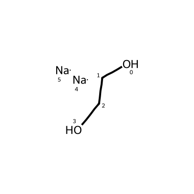 OCCO.[Na].[Na]